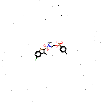 CCCN(CCOS(=O)(=O)c1ccc(C)cc1)S(=O)(=O)C1Sc2ccc(F)cc2C1C